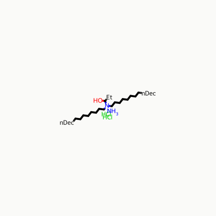 CCCCCCCCCCCCCCCCCCN(CCCCCCCCCCCCCCCCCC)C(O)CC.Cl.Cl.N